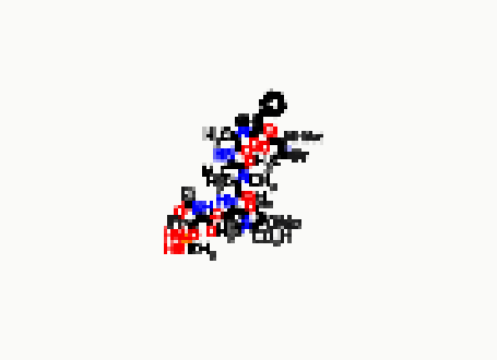 C=C(C(=O)N[C@@H](C)C(=O)N(C)[C@@H](C)C(=O)N[C@H](C(=O)N(C)[C@H](C(=O)O)[C@@H](C)OC)[C@H](OC(=O)[C@@H](NC(=O)CC)[C@H](OP(=C)(O)O)C(C)C)C(C)C)N(C)C(=O)[C@@H](Cc1ccccc1)OC(=O)/C(NC(C)=O)=C(\C)C(C)C